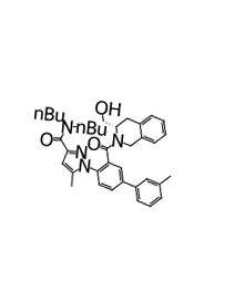 CCCCN(CCCC)C(=O)c1cc(C)n(-c2ccc(-c3cccc(C)c3)cc2C(=O)N2Cc3ccccc3C[C@H]2CO)n1